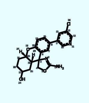 NC1=NC2(CO1)c1cc(-c3cncc(Cl)c3)ccc1O[C@H]1CCC(O)C[C@H]12